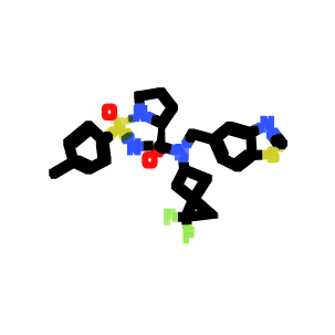 CN=[S@](=O)(c1ccc(C)cc1)N1CCC[C@H]1C(=O)N(Cc1ccc2scnc2c1)C1CC2(C1)CC2(F)F